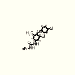 CCCNC(=O)Nc1cc(C)c(Oc2ccc(Cl)cc2)c(Cl)c1